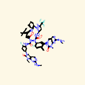 CCN1C(=O)N(c2ccc(F)c(NC(=O)N(c3cc(C(C)(C)C)no3)N(C(=O)Nc3cc(C(F)(F)F)nn3-c3ccccc3)c3cc(N4Cc5cnc(NC)nc5N(C)C4=O)c(C)cc3F)c2)Cc2cnc(NC)nc21